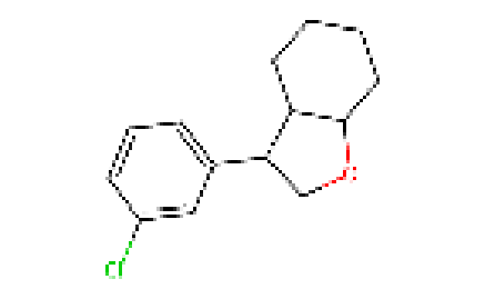 Clc1cccc(C2COC3CCCCC32)c1